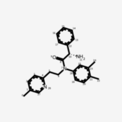 Cc1ccc(CCN(C(=O)[C@@H](N)c2ccccc2)c2ccc(C)c(C)c2)nc1